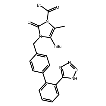 CCCCc1c(C)n(C(=O)CC)c(=O)n1Cc1ccc(-c2ccccc2-c2nnn[nH]2)cc1